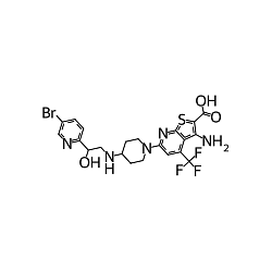 Nc1c(C(=O)O)sc2nc(N3CCC(NCC(O)c4ccc(Br)cn4)CC3)cc(C(F)(F)F)c12